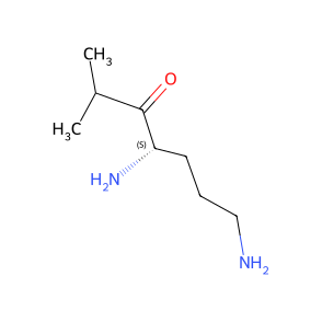 CC(C)C(=O)[C@@H](N)CCCN